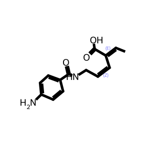 C/C=C(\C=C/CNC(=O)c1ccc(N)cc1)C(=O)O